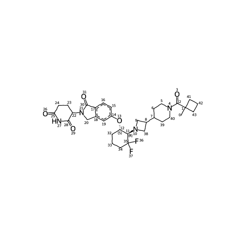 CC1(C(=O)N2CCC(C3CN([C@@H]4[C@@H](Oc5ccc6c(c5)CN(C5CCC(=O)NC5=O)C6=O)CCCC4(F)F)C3)CC2)CCC1